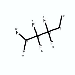 C[CH]C(F)(F)C(F)(F)[C](F)F